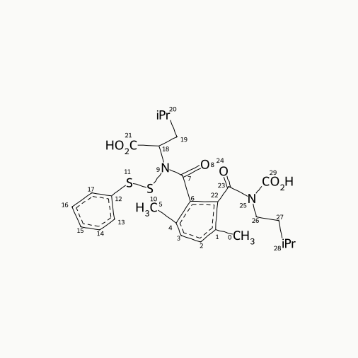 Cc1ccc(C)c(C(=O)N(SSc2ccccc2)C(CC(C)C)C(=O)O)c1C(=O)N(CCC(C)C)C(=O)O